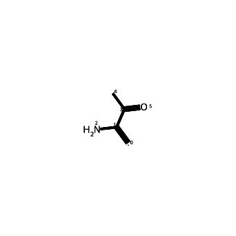 [CH]=C(N)C(C)=O